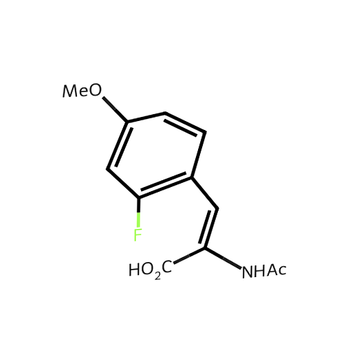 COc1ccc(/C=C(/NC(C)=O)C(=O)O)c(F)c1